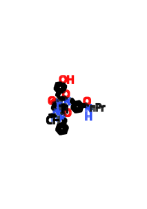 C=CCN1CC(=O)N2[C@@H](Cc3ccc(O)cc3)C(=O)N(Cc3cccc(C(=O)NCCC)c3)C[C@@H]2N1C(=O)NCc1ccccc1